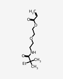 C=CC(=O)OCCOCCNC(=O)C(C)(C)CC